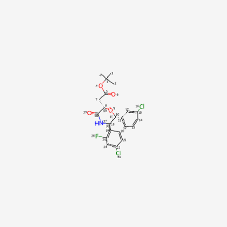 CC(C)(C)OC(=O)C[C@@H]1O[C@H](c2cccc(Cl)c2)[C@@H](c2ccc(Cl)cc2F)NC1=O